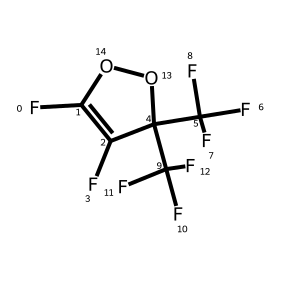 FC1=C(F)C(C(F)(F)F)(C(F)(F)F)OO1